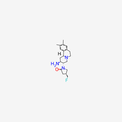 Cc1cc2c(cc1C)[C@@H]1C[C@H](N)[C@@H](N3C[C@@H](CF)CC3=O)CN1CC2